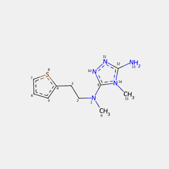 CN(CCc1cccs1)c1nnc(N)n1C